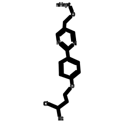 CCCCCCCOCc1cnc(-c2ccc(OCCC(Cl)CC)cc2)nc1